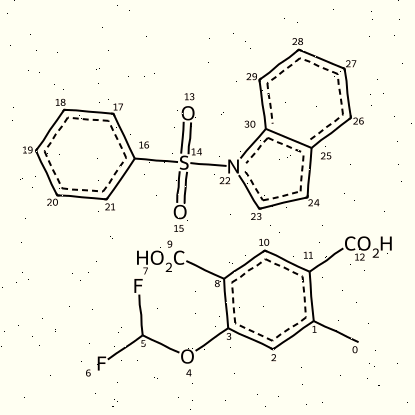 Cc1cc(OC(F)F)c(C(=O)O)cc1C(=O)O.O=S(=O)(c1ccccc1)n1ccc2ccccc21